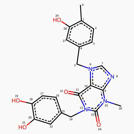 Cc1ccc(Cn2cnc3c2c(=O)n(Cc2ccc(O)c(O)c2)c(=O)n3C)cc1O